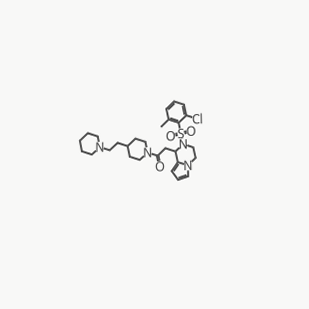 Cc1cccc(Cl)c1S(=O)(=O)N1CCn2cccc2C1CC(=O)N1CCC(CCN2CCCCC2)CC1